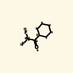 O=C(C1CCCCC1)N(F)F